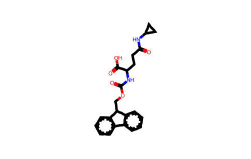 O=C(CCC(NC(=O)OCC1c2ccccc2-c2ccccc21)C(=O)O)NC1CC1